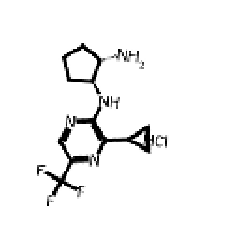 Cl.N[C@H]1CCC[C@@H]1Nc1ncc(C(F)(F)F)nc1C1CC1